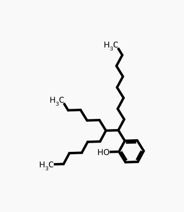 CCCCCCCCC(c1ccccc1O)C(CCCCC)CCCCCC